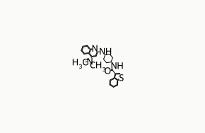 CN(C)c1cc(N[C@H]2CC[C@@H](NC(=O)c3csc4ccccc34)CC2)nc2ccccc12